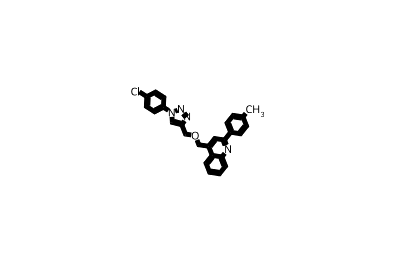 Cc1ccc(-c2cc(COCc3cn(-c4ccc(Cl)cc4)nn3)c3ccccc3n2)cc1